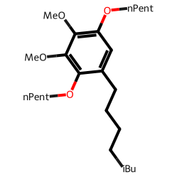 CCCCCOc1cc(CCCCC(C)CC)c(OCCCCC)c(OC)c1OC